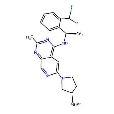 CC(=O)N[C@@H]1CCN(c2cc3c(N[C@H](C)c4ccccc4C(F)F)nc(C)nc3cn2)C1